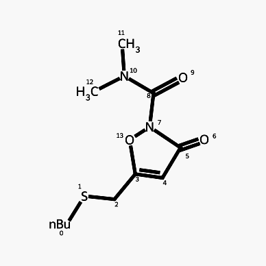 CCCCSCc1cc(=O)n(C(=O)N(C)C)o1